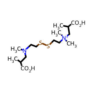 CC(CN(C)CCSSCC[N+](C)(C)CC(C)C(=O)O)C(=O)O